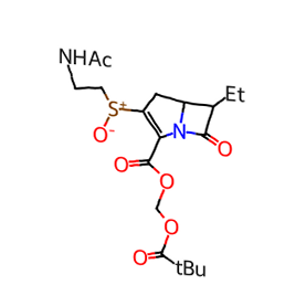 CCC1C(=O)N2C(C(=O)OCOC(=O)C(C)(C)C)=C([S+]([O-])CCNC(C)=O)CC12